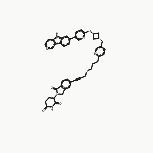 O=C1CCC(N2Cc3cc(C#CCOCCCc4ccc(C[C@H]5C[C@H](Oc6ccc(-c7ccc8c(c7)[nH]c7ccncc78)cn6)C5)cn4)ccc3C2=O)C(=O)N1